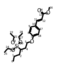 CCCC(CCOc1ccc(C=CC(=O)OC)cc1)[Si](OCC)(OCC)OCC